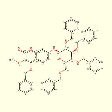 COc1c(OCc2ccccc2)c2ccc(O[C@@H]3O[C@H](COCc4ccccc4)[C@@H](OCc4ccccc4)[C@H](OCc4ccccc4)[C@H]3OCc3ccccc3)cc2oc1=O